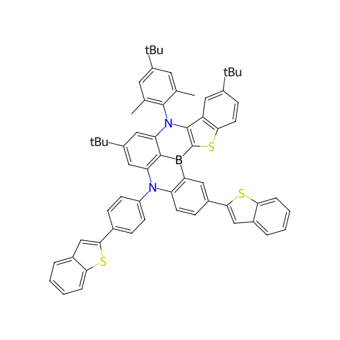 Cc1cc(C(C)(C)C)cc(C)c1N1c2cc(C(C)(C)C)cc3c2B(c2cc(-c4cc5ccccc5s4)ccc2N3c2ccc(-c3cc4ccccc4s3)cc2)c2sc3ccc(C(C)(C)C)cc3c21